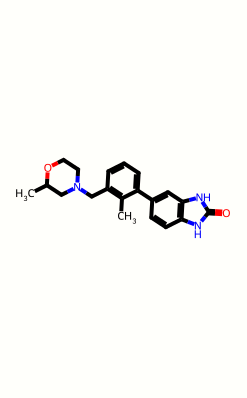 Cc1c(CN2CCOC(C)C2)cccc1-c1ccc2[nH]c(=O)[nH]c2c1